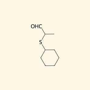 CC(C=O)SC1CCCCC1